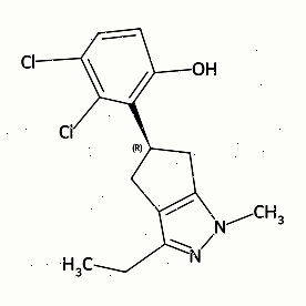 CCc1nn(C)c2c1C[C@@H](c1c(O)ccc(Cl)c1Cl)C2